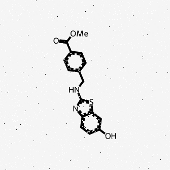 COC(=O)c1ccc(CNc2nc3ccc(O)cc3s2)cc1